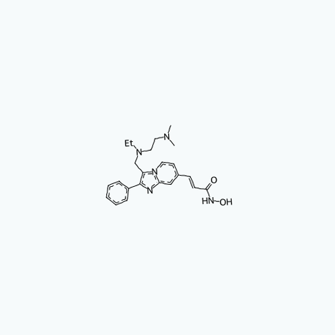 CCN(CCN(C)C)Cc1c(-c2ccccc2)nc2cc(C=CC(=O)NO)ccn12